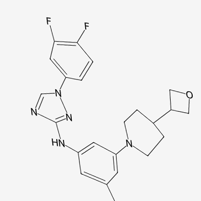 Cc1cc(Nc2ncn(-c3ccc(F)c(F)c3)n2)cc(N2CCC(C3COC3)CC2)c1